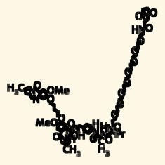 COc1cc2c(cc1OCCCCCOc1cc3c(cc1OC)C(=O)N1C=C(C)C[C@@H]1C(O)N3C(=O)OCc1ccc(NC(=O)C(C)NC(=O)[C@@H](NC(=O)CCOCCOCCOCCOCCOCCOCCOCCOCCNC(=O)CCN3C(=O)C=CC3=O)C(C)C)cc1)N=CC1CC(C)=CN1C2=O